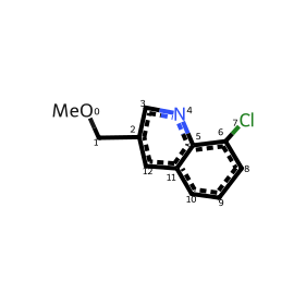 COCc1cnc2c(Cl)cccc2c1